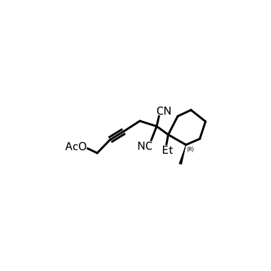 CCC1(C(C#N)(C#N)CC#CCOC(C)=O)CCCC[C@H]1C